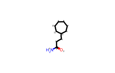 NC(=O)CCC1CCCCCC1